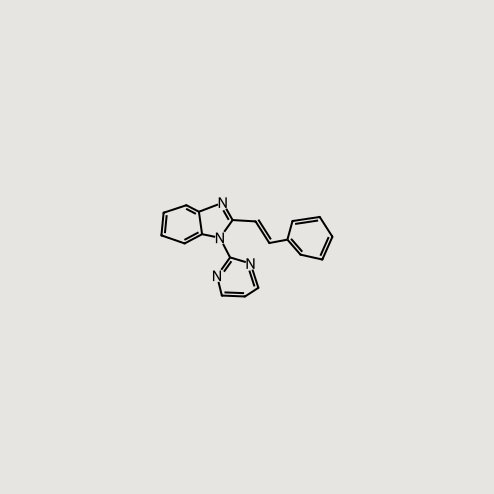 C(=Cc1nc2ccccc2n1-c1ncccn1)c1ccccc1